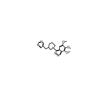 COc1cc2c(N3CCCC(Cc4cncnc4)C3)nncc2c(OC)c1OC